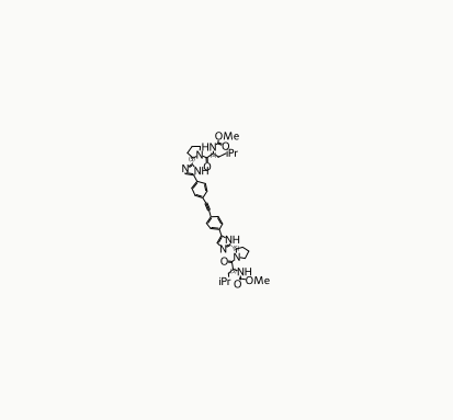 COC(=O)N[C@@H](CC(C)C)C(=O)N1CCC[C@H]1c1ncc(-c2ccc(C#Cc3ccc(-c4cnc([C@@H]5CCCN5C(=O)[C@H](CC(C)C)NC(=O)OC)[nH]4)cc3)cc2)[nH]1